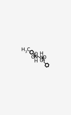 Cc1ccc(S(=O)(=O)NCCNS(=O)(=O)CCc2ccccc2)cc1